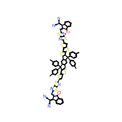 Cc1ccc(C2(c3ccc(C)cc3)c3cc4c(cc3-c3sc5cc(C6=NC7SC(/C=C8\C(=O)c9ccccc9C8=C(C#N)C#N)=NC7S6)sc5c32)C(c2ccc(C)cc2)(c2ccc(C)cc2)c2c-4sc3c2sc2cc(-c4nc5sc(/C=C6\C(=O)c7ccccc7C6=C(C#N)C#N)nc5s4)sc23)cc1